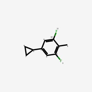 Cc1c(F)cc(C2CC2)cc1F